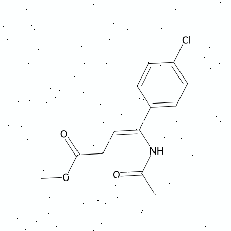 COC(=O)CC=C(NC(C)=O)c1ccc(Cl)cc1